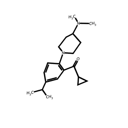 CC(C)c1ccc(N2CCC(N(C)C)CC2)c(C(=O)C2CC2)c1